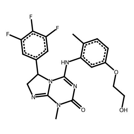 Cc1ccc(OCCO)cc1NC1=NC(=O)N(C)C2=NCC(c3cc(F)c(F)c(F)c3)N12